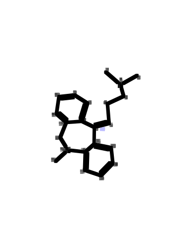 CN(C)CC/C=C1\c2ccccc2CN(C)c2ccccc21